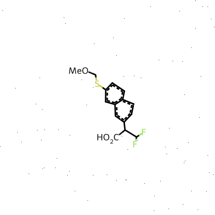 COCSc1ccc2ccc(C(C(=O)O)C(F)F)cc2c1